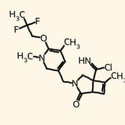 CC1=CC2C(=O)N(CC3=CC(C)=C(OCC(C)(F)F)N(C)C3)CC12C(=N)Cl